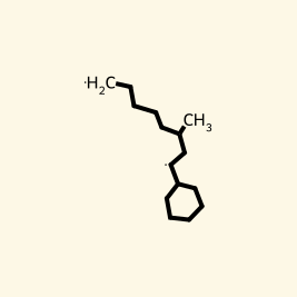 [CH2]CCCCC(C)C[CH]C1CCCCC1